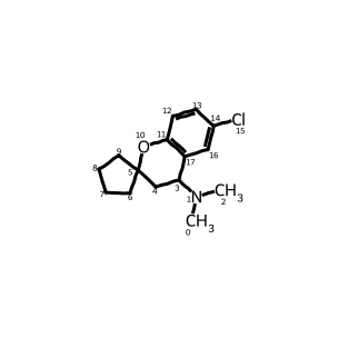 CN(C)C1CC2(CCCC2)Oc2ccc(Cl)cc21